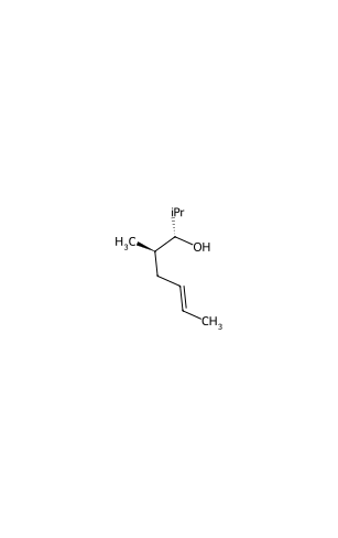 C/C=C/C[C@@H](C)[C@@H](O)C(C)C